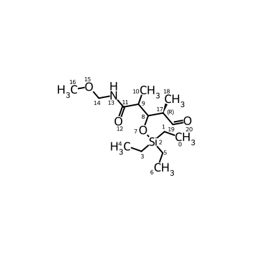 CC[Si](CC)(CC)OC(C(C)C(=O)NCOC)[C@@H](C)C=O